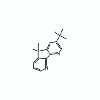 CC(C)(C)c1cnc2c(c1)C(C)(C)c1cccnc1-2